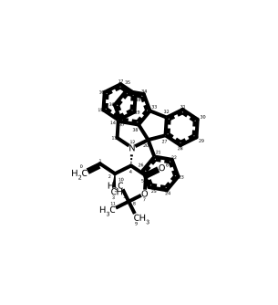 C=C[C@H](C)[C@@H](C(=O)OC(C)(C)C)N(Cc1ccccc1)C1(c2ccccc2)c2ccccc2-c2ccccc21